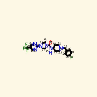 C[C@@H]1CN(c2ncc(C(F)(F)F)cn2)C[C@@H](C)N1C(=O)NC1CCN(Cc2ccc(F)cc2)CC1